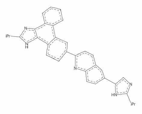 CC(C)c1ncc(-c2ccc3nc(-c4ccc5c(c4)c4ccccc4c4nc(C(C)C)[nH]c54)ccc3c2)[nH]1